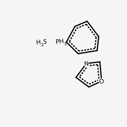 P.S.c1ccccc1.c1cocn1